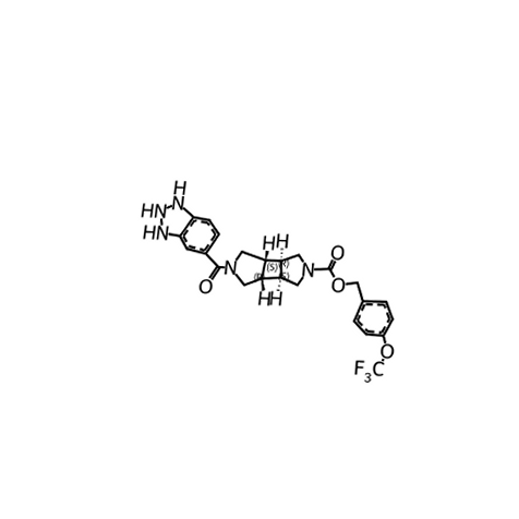 O=C(OCc1ccc(OC(F)(F)F)cc1)N1C[C@@H]2[C@H](C1)[C@H]1CN(C(=O)c3ccc4c(c3)NNN4)C[C@@H]21